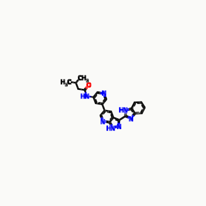 CC(C)CC(=O)Nc1cncc(-c2cnc3[nH]nc(-c4nc5ccccc5[nH]4)c3c2)c1